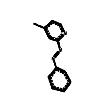 Cc1ccnc(N=Nc2ccccc2)c1